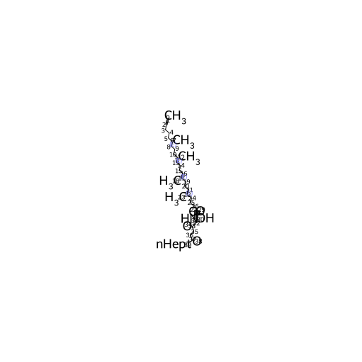 CC#CCCC/C(C)=C/CC/C(C)=C/CC/C=C(\C)CC/C=C(\C)CCCOP(=O)(O)NCC(=O)CCC(=O)CCCCCCC